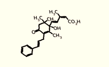 CC1=C(C/C=C/c2ccccc2)C(=O)CC(C)(C)[C@]1(O)/C=C/C(C)=C\C(=O)O